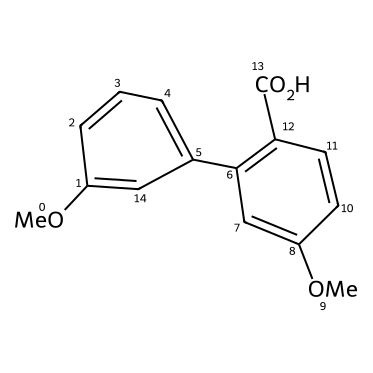 COc1cccc(-c2cc(OC)ccc2C(=O)O)c1